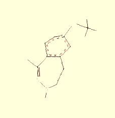 CC1=NN(C)CCc2cc(OC(F)(F)F)ccc21